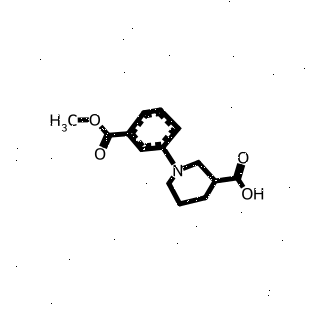 COC(=O)c1cccc(N2CCCC(C(=O)O)C2)c1